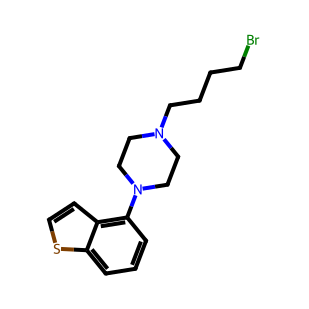 BrCCCCN1CCN(c2cccc3sccc23)CC1